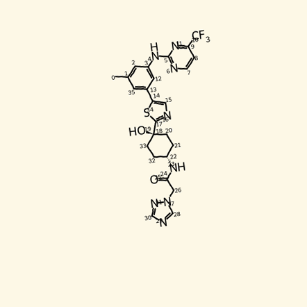 Cc1cc(Nc2nccc(C(F)(F)F)n2)cc(-c2cnc([C@]3(O)CC[C@H](NC(=O)Cn4cncn4)CC3)s2)c1